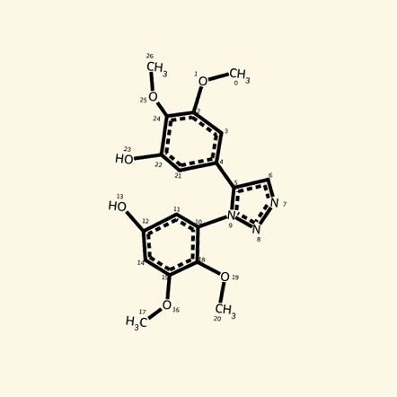 COc1cc(-c2cnnn2-c2cc(O)cc(OC)c2OC)cc(O)c1OC